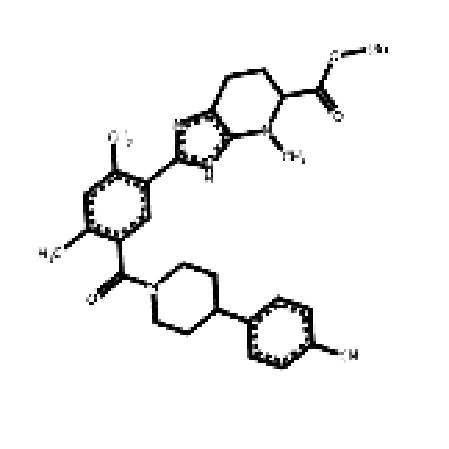 Cc1cc(C)c(-c2nc3c([nH]2)N(C)C(C(=O)OC(C)(C)C)CC3)cc1C(=O)N1CCC(c2ccc(C#N)cc2)CC1